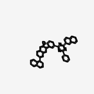 c1ccc(-c2nc(-c3ccc4ccccc4c3)nc(-c3ccc4oc5cc6ccc(-c7cccc8ccccc78)cc6cc5c4c3)n2)cc1